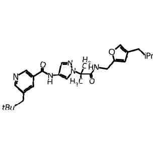 CC(C)Cc1coc(CNC(=O)C(C)(C)n2cc(NC(=O)c3cncc(CC(C)(C)C)c3)cn2)c1